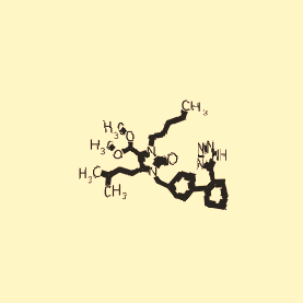 CCCCCn1c(C(OC)OC)c(CCC(C)C)n(Cc2ccc(-c3ccccc3-c3nnn[nH]3)cc2)c1=O